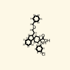 O=C(O)C1(Nc2cccc(Cl)c2)CCC2(CC1)c1ccccc1CC2CCOCc1ccccc1